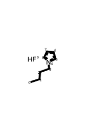 CCCCn1cccc1.F